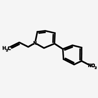 C=CCN1C=CC=C(c2ccc([N+](=O)[O-])cc2)C1